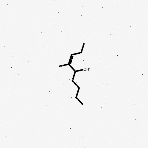 CCC=C(C)C(O)CCCC